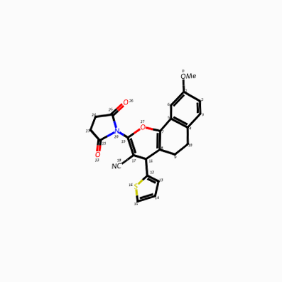 COc1ccc2c(c1)C1=C(CC2)C(c2cccs2)C(C#N)=C(N2C(=O)CCC2=O)O1